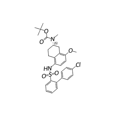 COc1ccc(NS(=O)(=O)c2ccccc2-c2ccc(Cl)cc2)c2c1C[C@@H](N(C)C(=O)OC(C)(C)C)CC2